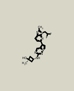 Cc1nc2ccc(-c3ccn4nc(N[C@H]5C[C@](C)(O)C5)ncc34)nc2n1CC(F)F